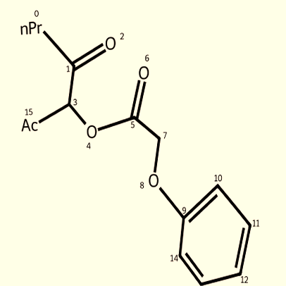 CCCC(=O)C(OC(=O)COc1ccccc1)C(C)=O